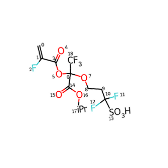 C=C(F)C(=O)OC(OCCC(F)(F)S(=O)(=O)O)(C(=O)OC(C)C)C(F)(F)F